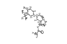 CN(C)C(=O)Cn1ncc2ncc(-c3ccc(F)c(C(C)(F)F)c3)cc21